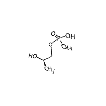 [CH2][C@@H](O)COP(=O)(O)O